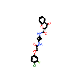 O=C(COc1ccc(Cl)c(F)c1)NC12CC(NC(=O)[C@H]3CC(=O)c4ccccc4O3)(C1)C2